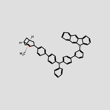 C[C@H]1C[C@H]2C[C@H]3CC(c4ccc(-c5ccc(N(c6ccccc6)c6ccc(-c7cccc(-n8c9ccccc9c9cc%10ccccc%10cc98)c7)cc6)cc5)cc4)(CC23)C1